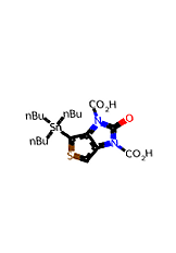 CCC[CH2][Sn]([CH2]CCC)([CH2]CCC)[c]1scc2c1n(C(=O)O)c(=O)n2C(=O)O